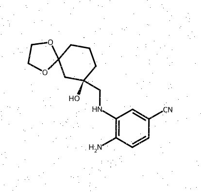 N#Cc1ccc(N)c(NC[C@@]2(O)CCCC3(C2)OCCO3)c1